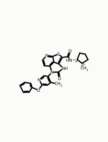 Cc1cc(Oc2ccccc2)ncc1N1C(=O)Nc2c(C(=O)N[C@@H]3CCC[C@@H]3C)sc3nccc1c23